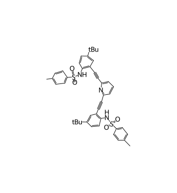 Cc1ccc(S(=O)(=O)Nc2ccc(C(C)(C)C)cc2C#Cc2cccc(C#Cc3cc(C(C)(C)C)ccc3NS(=O)(=O)c3ccc(C)cc3)n2)cc1